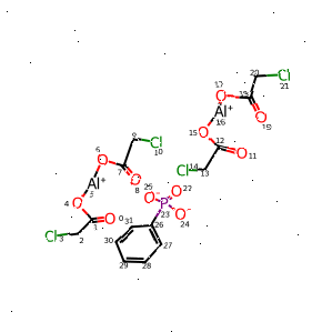 O=C(CCl)[O][Al+][O]C(=O)CCl.O=C(CCl)[O][Al+][O]C(=O)CCl.O=P([O-])([O-])c1ccccc1